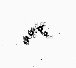 Cn1c(Nc2cc(CN3CC[C@H](O)C3)cc(C(F)(F)F)c2)nc2ncc(Oc3cnn4ccncc34)c(Cl)c21